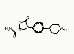 NC(=O)[C@H]1CN(c2ccc(C3CC[S+]([O-])CC3)cc2)C(=O)O1